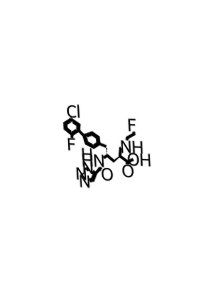 O=C(N[C@H](Cc1ccc(-c2cc(Cl)ccc2F)cc1)C[C@@H](CNCCF)C(=O)O)c1cnn[nH]1